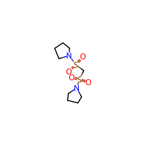 O=S(=O)(CS(=O)(=O)N1CCCC1)N1CCCC1